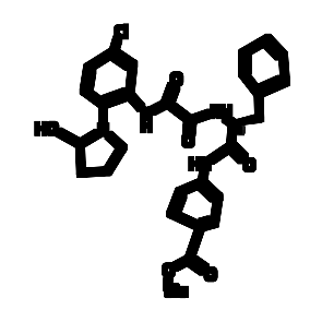 CC(C)(C)OC(=O)c1ccc(NC(=O)[C@H](Cc2ccccc2)NC(=O)C(=O)Nc2cc(Cl)ccc2N2CCCC2O)cc1